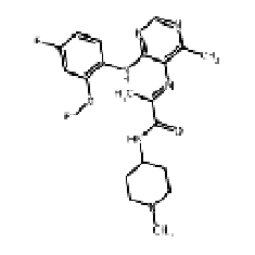 C/C(=N\c1c(C)ncnc1Nc1ccc(F)cc1OC(C)C)C(=O)NC1CCN(C)CC1